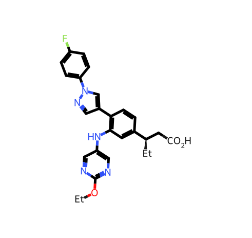 CCOc1ncc(Nc2cc([C@H](CC)CC(=O)O)ccc2-c2cnn(-c3ccc(F)cc3)c2)cn1